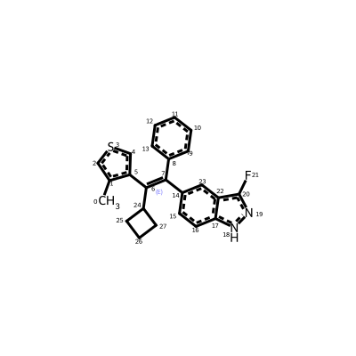 Cc1cscc1/C(=C(\c1[c]cccc1)c1ccc2[nH]nc(F)c2c1)C1CCC1